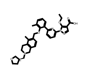 CCOc1c(C(=O)O)cnn1-c1cccc(-c2cccc(C)c2OCc2ccc3c(c2C)CCN(C[C@H]2CCOC2)C3)n1